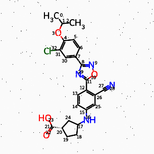 CC(C)Oc1ccc(-c2noc(-c3ccc(NC4CC[C@H](C(=O)O)C4)cc3C#N)n2)cc1Cl